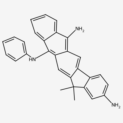 CC1(C)c2cc(N)ccc2-c2cc3c(N)c4ccccc4c(Nc4ccccc4)c3cc21